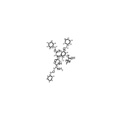 N[C@@H](COCc1ccccc1)C(=O)N[C@@H](Cc1ccc(OCc2ccccc2)cc1)C(=O)NCC(=O)OCc1ccccc1.O=C(O)C(F)(F)F